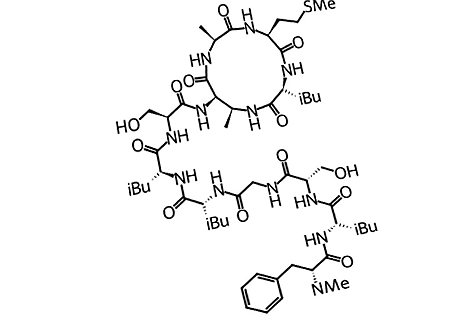 CC[C@@H](C)[C@@H](NC(=O)CNC(=O)[C@H](CO)NC(=O)[C@@H](NC(=O)[C@@H](Cc1ccccc1)NC)[C@@H](C)CC)C(=O)N[C@H](C(=O)N[C@@H](CO)C(=O)N[C@H]1C(=O)N[C@@H](C)C(=O)N[C@@H](CCSC)C(=O)N[C@@H]([C@@H](C)CC)C(=O)N[C@H]1C)[C@@H](C)CC